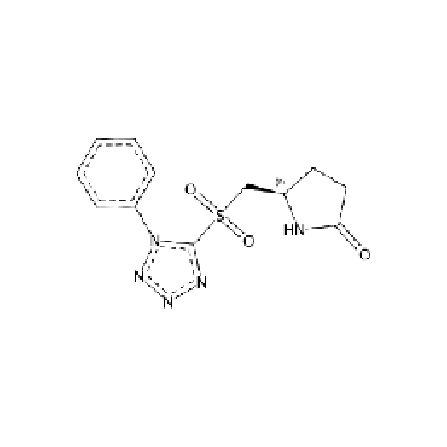 O=C1CC[C@H](CS(=O)(=O)c2nnnn2-c2ccccc2)N1